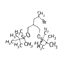 C=C(Br)CC(CO[Si](C)(C)C(C)(C)C)CO[Si](C)(C)C(C)(C)C